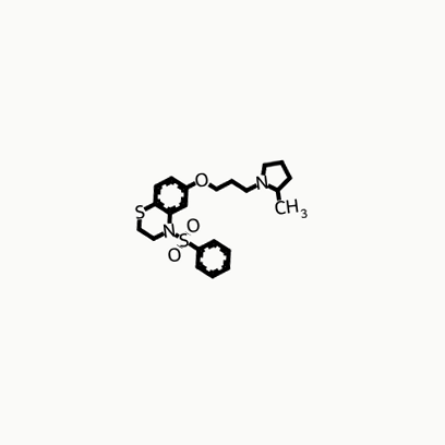 CC1CCCN1CCCOc1ccc2c(c1)N(S(=O)(=O)c1ccccc1)CCS2